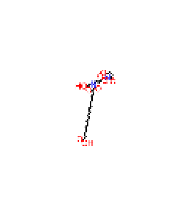 O=C(O)CCCCCCCCCCCCCCCCC(=O)N(CCC(=O)ON1C(=O)CCC1=O)CC(=O)O